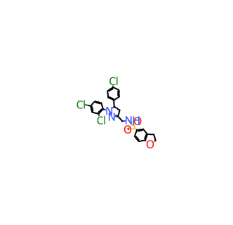 O=S(=O)(NCC1=NN(c2ccc(Cl)cc2Cl)C(c2ccc(Cl)cc2)C1)c1ccc2c(c1)CCO2